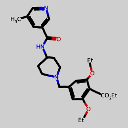 CCOC(=O)c1c(OCC)cc(CN2CCC(NC(=O)c3cncc(C)c3)CC2)cc1OCC